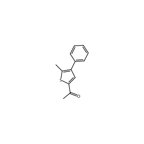 CC(=O)c1cc(-c2ccccc2)c(C)s1